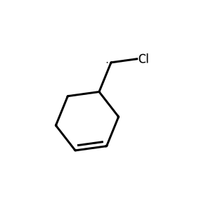 Cl[CH]C1CC=CCC1